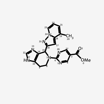 COC(=O)c1cnc(N2CCc3[nH]cnc3C2c2cc3c(C)cccn3n2)nc1